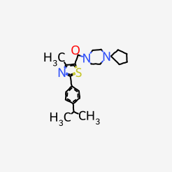 Cc1nc(-c2ccc(C(C)C)cc2)sc1C(=O)N1CCN(C2CCCC2)CC1